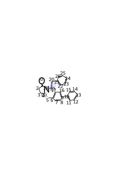 O=C1CC[C@@H](Cc2ccc(-c3ccccc3)cc2)N1/C=C/c1ccccc1